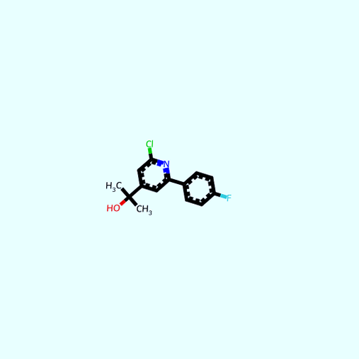 CC(C)(O)c1cc(Cl)nc(-c2ccc(F)cc2)c1